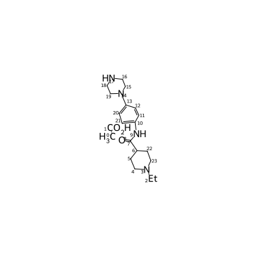 CC(=O)O.CCN1CCC(C(=O)Nc2ccc(N3CCNCC3)cc2)CC1